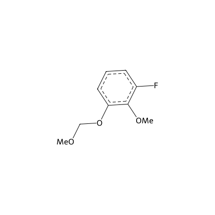 COCOc1cccc(F)c1OC